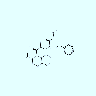 CCOC(=O)[C@H](CCc1ccccc1)NC(C)C(=O)N1C2CCSCC2CC[C@H]1C(=O)O